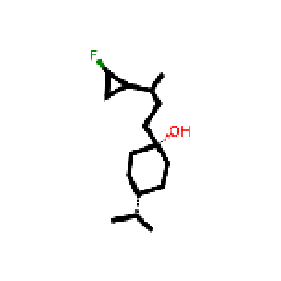 CC(CC[C@]1(O)CC[C@@H](C(C)C)CC1)C1CC1F